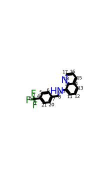 FC(F)(F)c1ccc(CNc2cccc3cccnc23)cc1